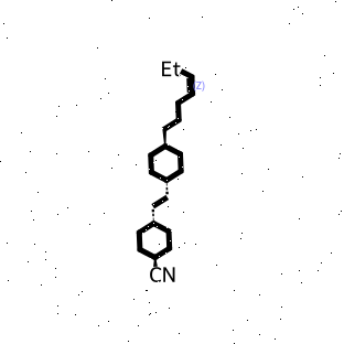 CC/C=C\CCC[C@H]1CC[C@H](CC[C@H]2CC[C@H](C#N)CC2)CC1